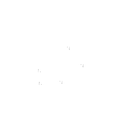 [c]1nncc(-c2ncccn2)n1